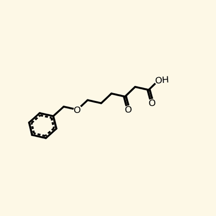 O=C(O)CC(=O)CCCOCc1ccccc1